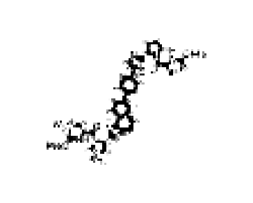 COC(=O)N[C@@H](CSC)C(=O)N1C[Si](C)(C)C[C@H]1c1nc2ccc3cc(-c4ccc(-c5cnc([C@@H]6CCCN6C(=O)[C@@H](NC(=O)OC)C(C)C)[nH]5)cc4)ccc3c2[nH]1